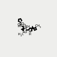 C=C[C@@H]1C[C@@]1(C(=O)NS(=O)(=O)N1CCCC1)N(C)C(=O)C1CC2(CN1)CC21CCC1C